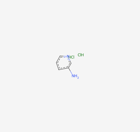 Cl.Cl.Nc1cccnc1